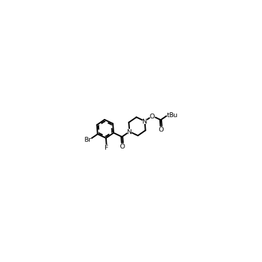 CC(C)(C)C(=O)ON1CCN(C(=O)c2cccc(Br)c2F)CC1